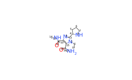 CCn1c(C2CCCN2)nc(C(=O)NC)c1C(N)=O